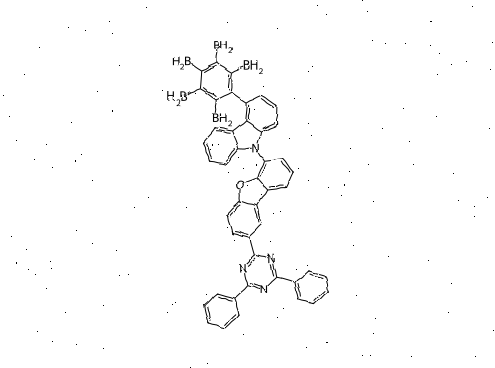 Bc1c(B)c(B)c(-c2cccc3c2c2ccccc2n3-c2cccc3c2oc2ccc(-c4nc(-c5ccccc5)nc(-c5ccccc5)n4)cc23)c(B)c1B